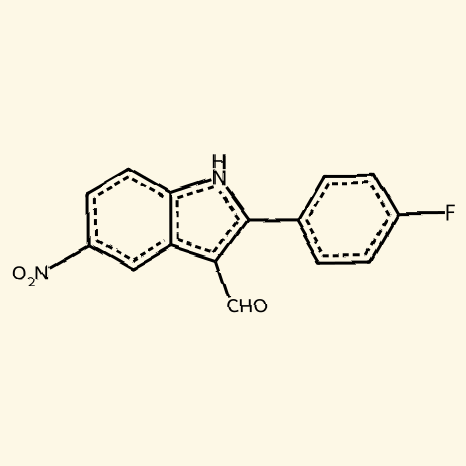 O=Cc1c(-c2ccc(F)cc2)[nH]c2ccc([N+](=O)[O-])cc12